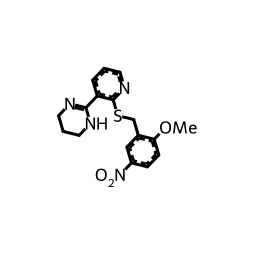 COc1ccc([N+](=O)[O-])cc1CSc1ncccc1C1=NCCCN1